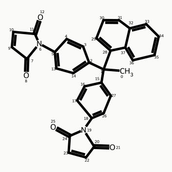 CC(c1ccc(N2C(=O)C=CC2=O)cc1)(c1ccc(N2C(=O)C=CC2=O)cc1)c1cccc2ccccc12